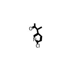 CC(=O)C(C)c1ccc(Cl)nc1